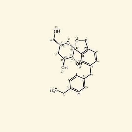 CCc1ccc(Cc2ccc3c(c2)[C@]2(OC3)O[C@H](CO)C[C@H](O)[C@H]2O)cc1